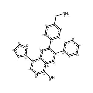 NCc1ccc(-c2nc3c(-c4ccco4)cnc(O)c3cc2-c2ccccc2)cc1